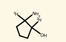 [2H]C1(N)CCCC1([2H])O